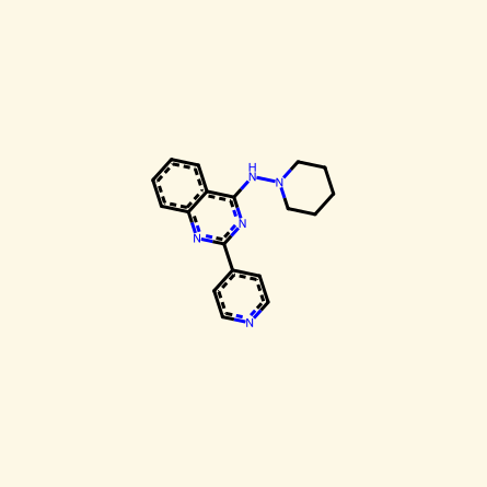 c1ccc2c(NN3CCCCC3)nc(-c3ccncc3)nc2c1